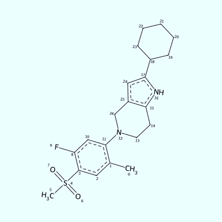 Cc1cc(S(C)(=O)=O)c(F)cc1N1CCc2[nH]c(C3CCCCC3)cc2C1